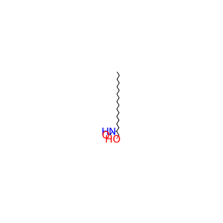 CCCCCCCCCCCCCCCCC(CO)NC=O